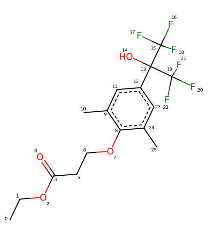 CCOC(=O)CCOc1c(C)cc(C(O)(C(F)(F)F)C(F)(F)F)cc1C